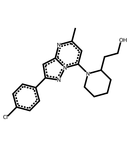 Cc1cc(N2CCCCC2CCO)n2nc(-c3ccc(Cl)cc3)cc2n1